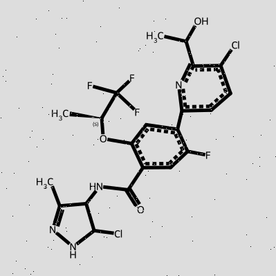 CC1=NNC(Cl)C1NC(=O)c1cc(F)c(-c2ccc(Cl)c(C(C)O)n2)cc1O[C@@H](C)C(F)(F)F